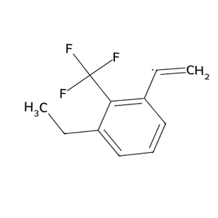 C=[C]c1cccc(CC)c1C(F)(F)F